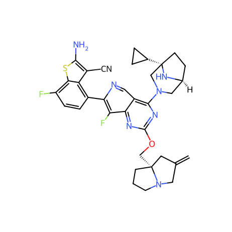 C=C1CN2CCC[C@@]2(COc2nc(N3C[C@@H]4CC[C@](C5CC5)(C3)N4)c3cnc(-c4ccc(F)c5sc(N)c(C#N)c45)c(F)c3n2)C1